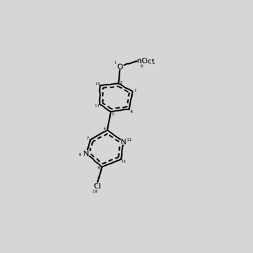 CCCCCCCCOc1ccc(-c2cnc(Cl)cn2)cc1